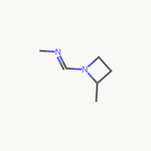 C/N=C/N1CCC1C